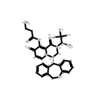 CCCC(=O)Oc1c2n(ccc1=O)N([C@H]1c3ccccc3CSc3ccccc31)CN([C@H](C)C(F)(F)F)C2=O